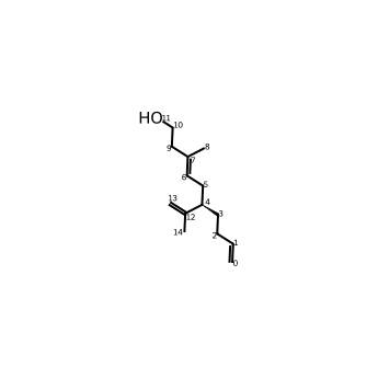 C=CCC[C@H](C/C=C(\C)CCO)C(=C)C